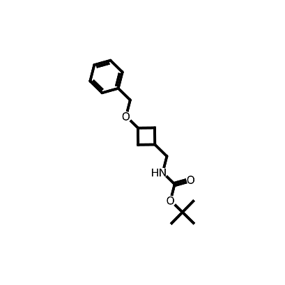 CC(C)(C)OC(=O)NCC1CC(OCc2ccccc2)C1